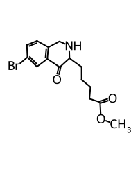 COC(=O)CCCCC1NCc2ccc(Br)cc2C1=O